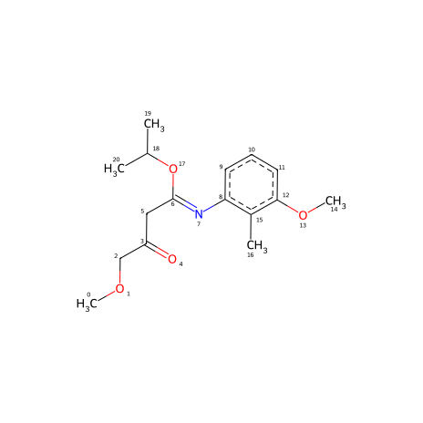 COCC(=O)C/C(=N/c1cccc(OC)c1C)OC(C)C